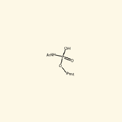 CCCC(C)OP(=O)(O)NC(C)=O